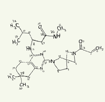 C=CC(=O)N1CC2(CCN(c3nc4c(c(NC(CC(=O)NC)CC(C)C)n3)CCC(C)(C)C4)C2)C1